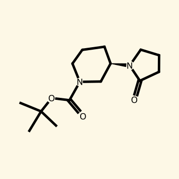 CC(C)(C)OC(=O)N1CCC[C@@H](N2CCCC2=O)C1